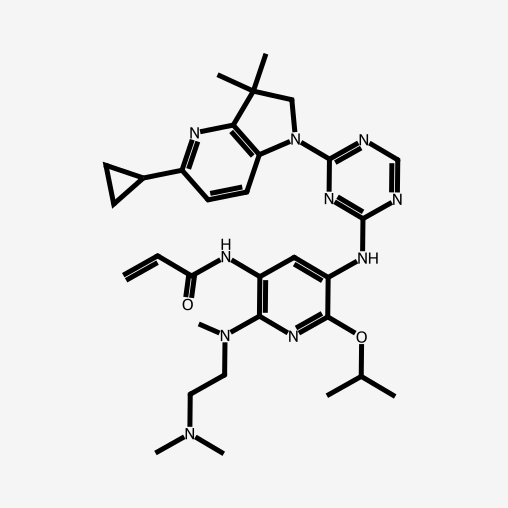 C=CC(=O)Nc1cc(Nc2ncnc(N3CC(C)(C)c4nc(C5CC5)ccc43)n2)c(OC(C)C)nc1N(C)CCN(C)C